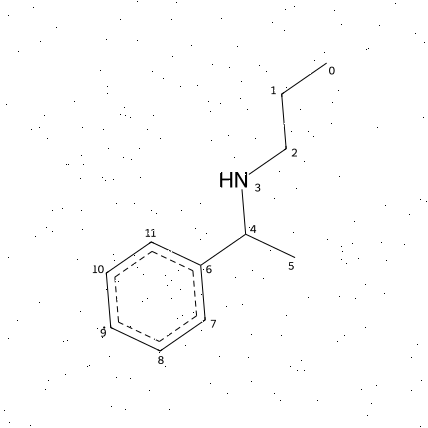 CCCNC(C)c1cc[c]cc1